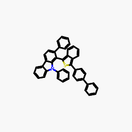 c1ccc(-c2ccc(-c3sc(-c4c(-c5ccccc5)ccc5c6ccccc6n(-c6ccccc6)c45)c4ccccc34)cc2)cc1